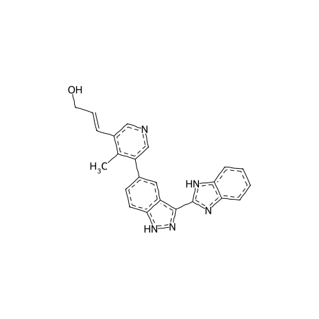 Cc1c(/C=C/CO)cncc1-c1ccc2[nH]nc(-c3nc4ccccc4[nH]3)c2c1